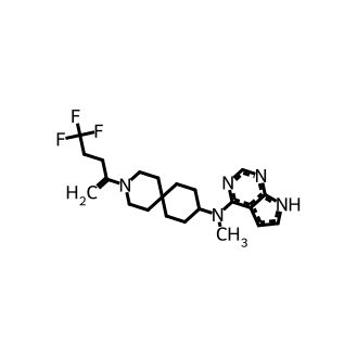 C=C(CCC(F)(F)F)N1CCC2(CCC(N(C)c3ncnc4[nH]ccc34)CC2)CC1